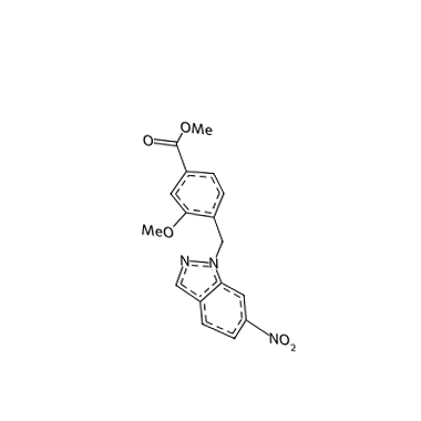 COC(=O)c1ccc(Cn2ncc3ccc([N+](=O)[O-])cc32)c(OC)c1